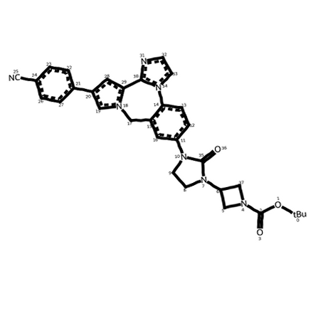 CC(C)(C)OC(=O)N1CC(N2CCN(c3ccc4c(c3)Cn3cc(-c5ccc(C#N)cc5)cc3-c3nccn3-4)C2=O)C1